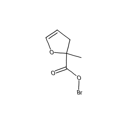 CC1(C(=O)OBr)CC=CO1